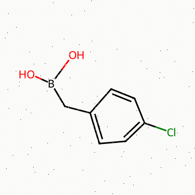 OB(O)Cc1ccc(Cl)cc1